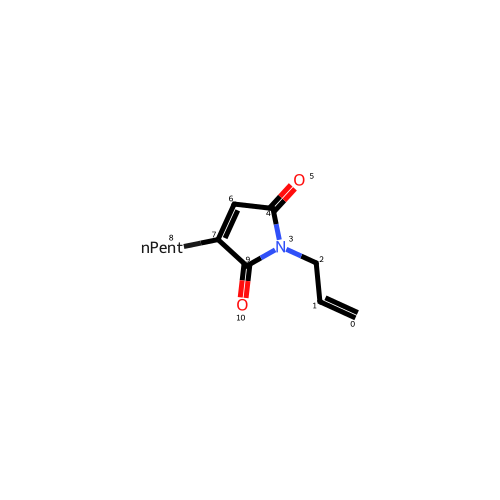 C=CCN1C(=O)C=C(CCCCC)C1=O